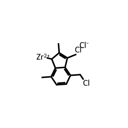 CC1=C(C)[CH]([Zr+2])c2c(C)ccc(CCl)c21.[Cl-].[Cl-]